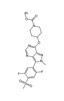 CC(C)OC(=O)N1CCC(Oc2ncnc3c(-c4cc(F)c(S(C)(=O)=O)cc4F)n(C)nc23)CC1